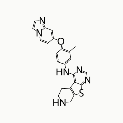 Cc1cc(Nc2ncnc3sc4c(c23)CCNC4)ccc1Oc1ccn2ccnc2c1